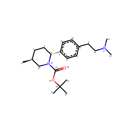 C[C@H]1CC[C@H](c2ccc(CCN(C)C)cc2)N(C(=O)OC(C)(C)C)C1